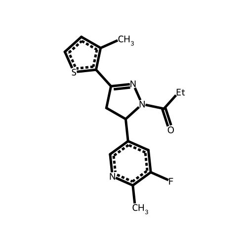 CCC(=O)N1N=C(c2sccc2C)CC1c1cnc(C)c(F)c1